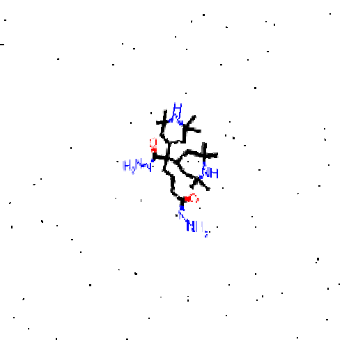 CC1(C)CC(C(CCCC(=O)[N]N)(C(=O)[N]N)C2CC(C)(C)NC(C)(C)C2)CC(C)(C)N1